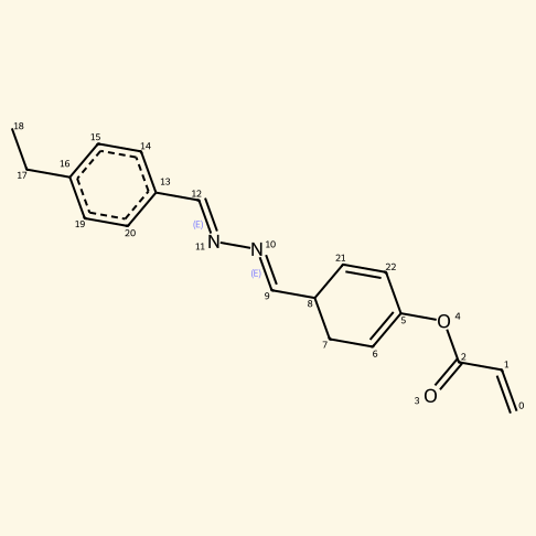 C=CC(=O)OC1=CCC(/C=N/N=C/c2ccc(CC)cc2)C=C1